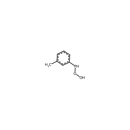 Cc1cccc(POO)c1